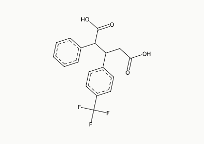 O=C(O)CC(c1ccc(C(F)(F)F)cc1)C(C(=O)O)c1ccccc1